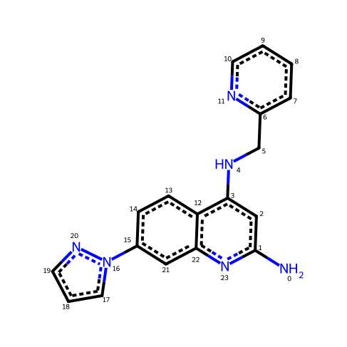 Nc1cc(NCc2ccccn2)c2ccc(-n3cccn3)cc2n1